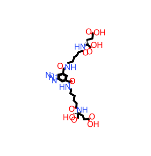 [N-]=[N+]=Nc1cc(C(=O)NCCCCCC(=O)N[C@@H](CCC(=O)O)C(=O)O)cc(C(=O)NCCCCCC(=O)N[C@@](C=O)(CO)CCC(=O)O)c1